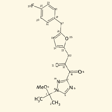 COC(C)(C)n1cnc(C(=O)C(=O)Cc2ccc(Cc3ccc(F)cc3)o2)n1